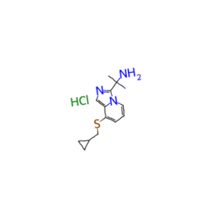 CC(C)(N)c1ncc2c(SCC3CC3)cccn12.Cl